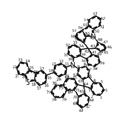 c1ccc2c(c1)-c1ccc(N(c3ccc(-c4ccc5sc6ccccc6c5c4)cc3)c3cccc4c3-c3ccccc3C43c4ccccc4-n4c5ccccc5c5cccc3c54)cc1C21c2ccccc2-c2c1ccc1ccccc21